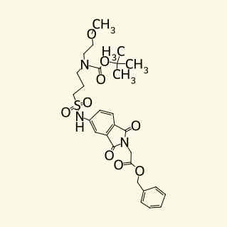 COCCN(CCCS(=O)(=O)Nc1ccc2c(c1)C(=O)N(CC(=O)OCc1ccccc1)C2=O)C(=O)OC(C)(C)C